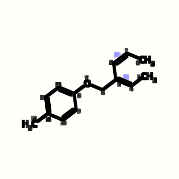 C/C=C\C(=C/C)COc1ccc(C)cc1